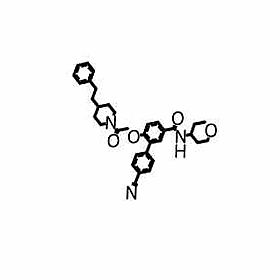 N#Cc1ccc(-c2cc(C(=O)NC3CCOCC3)ccc2OCC(=O)N2CCC(CCc3ccccc3)CC2)cc1